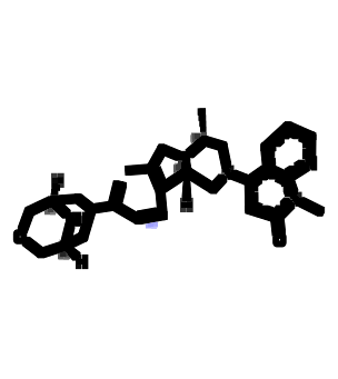 C=C(/C=C\C1=C(C)CN2[C@H](C)CN(c3cc(=O)n(C)c4ncccc34)C[C@H]12)C1C[C@@H]2COC[C@@H](C1)N2